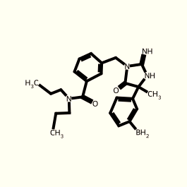 Bc1cccc(C2(C)NC(=N)N(Cc3cccc(C(=O)N(CCC)CCC)c3)C2=O)c1